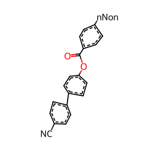 CCCCCCCCCc1ccc(C(=O)Oc2ccc(-c3ccc(C#N)cc3)cc2)cc1